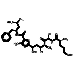 CNCCC[C@@H](C)C(=O)N[C@H](C(=O)N(C)[C@H](C[C@@H](OC(C)=O)c1nc(C(=O)N[C@@H](Cc2ccccc2)C[C@H](C)C(=O)O)c(C)s1)C(C)C)C(C)C